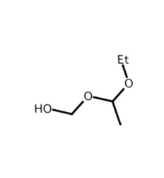 CCOC(C)OCO